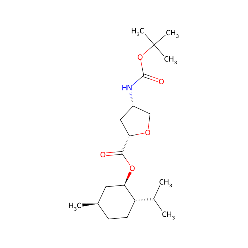 CC(C)[C@@H]1CC[C@@H](C)C[C@H]1OC(=O)[C@@H]1C[C@H](NC(=O)OC(C)(C)C)CO1